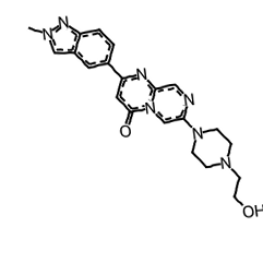 Cn1cc2cc(-c3cc(=O)n4cc(N5CCN(CCO)CC5)ncc4n3)ccc2n1